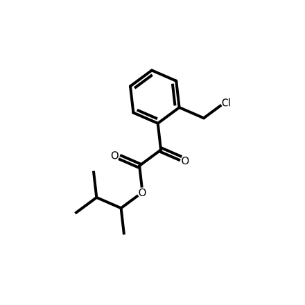 CC(C)C(C)OC(=O)C(=O)c1ccccc1CCl